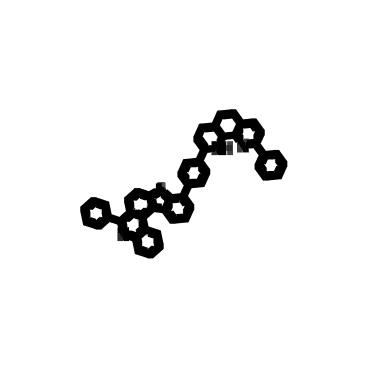 C1=Cc2ccc(-c3ccccc3)nc2C2NC(c3ccc(-c4cccc5c4sc4ccc6c(-c7ccccc7)nc7ccccc7c6c45)cc3)=CC=C12